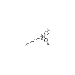 CCCCCCCCCCCCS(=O)(=O)C(c1ccc(N(C)C)cc1)c1ccc(N(C)C)cc1